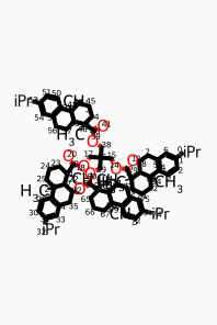 CC(C)c1ccc2c(c1)CCC1[C@](C)(C(=O)OCC(COC(=O)[C@]3(C)CCC[C@@]4(C)c5ccc(C(C)C)cc5CCC34)(COC(=O)[C@@]3(C)CCC[C@]4(C)c5ccc(C(C)C)cc5CCC34)COC(=O)[C@@]3(C)CCC[C@]4(C)c5ccc(C(C)C)cc5CC[C@@H]34)CCC[C@@]21C